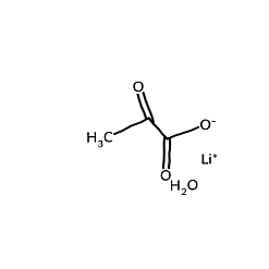 CC(=O)C(=O)[O-].O.[Li+]